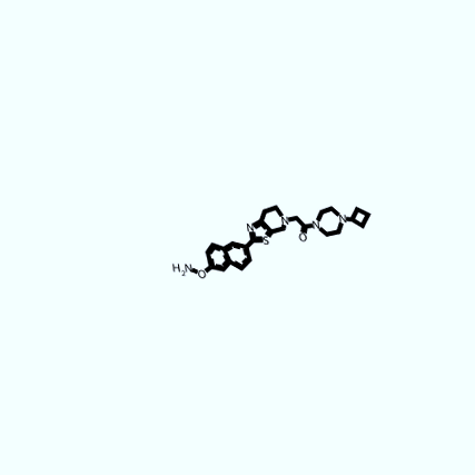 NOc1ccc2cc(-c3nc4c(s3)CN(CC(=O)N3CCN(C5CCC5)CC3)CC4)ccc2c1